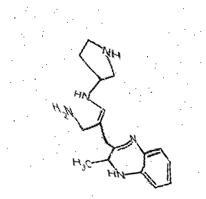 CC1Nc2ccccc2N=C1/C(=C/NC1CCNC1)CN